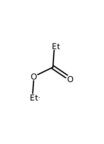 C[CH]OC(=O)CC